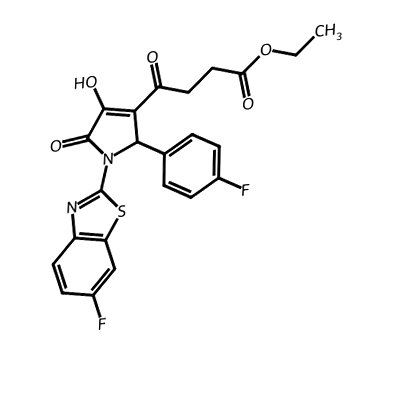 CCOC(=O)CCC(=O)C1=C(O)C(=O)N(c2nc3ccc(F)cc3s2)C1c1ccc(F)cc1